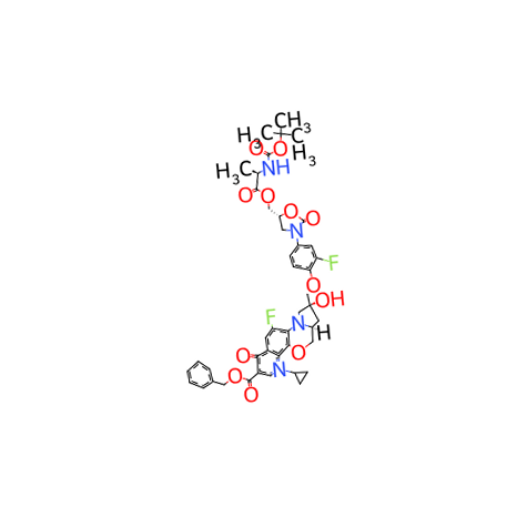 C[C@@H](NC(=O)OC(C)(C)C)C(=O)OC[C@H]1CN(c2ccc(OC[C@]3(O)C[C@H]4COc5c(c(F)cc6c(=O)c(C(=O)OCc7ccccc7)cn(C7CC7)c56)N4C3)c(F)c2)C(=O)O1